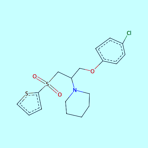 O=S(=O)(CC(COc1ccc(Cl)cc1)N1CCCCC1)c1cccs1